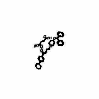 O=C(CCCN1CCC(OC(c2ccccc2)c2ccccc2)CC1)c1ccc(C2CCCCC2)cc1.O=C(O)/C=C/C(=O)O